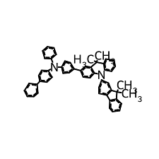 CC1(C)c2ccccc2-c2ccc(N3c4ccccc4C(C)(C)c4cc(-c5ccc(N(c6ccccc6)c6ccc(-c7ccccc7)cc6)cc5)ccc43)cc21